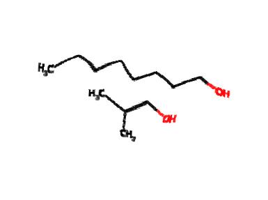 CC(C)CO.CCCCCCCCO